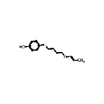 CC=COCCCCOc1ccc(O)cc1